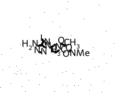 CNC(=O)OC(C)(C)C(=O)N1CCCC(n2nc(I)c3c(N)ncnc32)C1